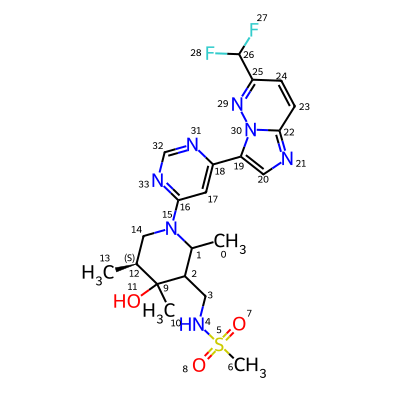 CC1C(CNS(C)(=O)=O)C(C)(O)[C@@H](C)CN1c1cc(-c2cnc3ccc(C(F)F)nn23)ncn1